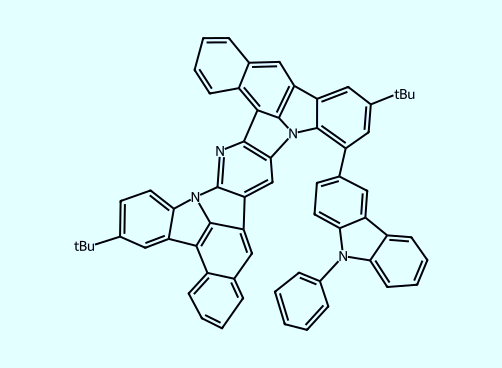 CC(C)(C)c1ccc2c(c1)c1c3ccccc3cc3c4cc5c(nc4n2c31)c1c2ccccc2cc2c3cc(C(C)(C)C)cc(-c4ccc6c(c4)c4ccccc4n6-c4ccccc4)c3n5c21